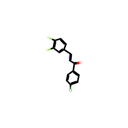 O=C(/C=C/c1ccc(F)c(F)c1)c1ccc(Cl)cc1